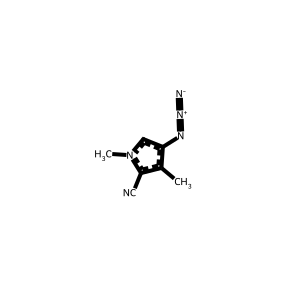 Cc1c(N=[N+]=[N-])cn(C)c1C#N